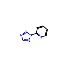 [c]1cccnc1-n1ncnn1